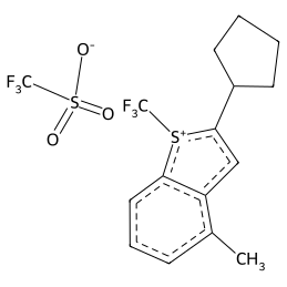 Cc1cccc2c1cc(C1CCCC1)[s+]2C(F)(F)F.O=S(=O)([O-])C(F)(F)F